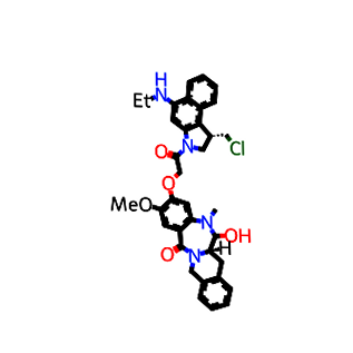 CCNc1cc2c(c3ccccc13)[C@H](CCl)CN2C(=O)COc1cc2c(cc1OC)C(=O)N1Cc3ccccc3C[C@H]1C(O)N2C